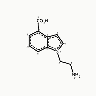 NCCn1ccc2c(C(=O)O)cccc21